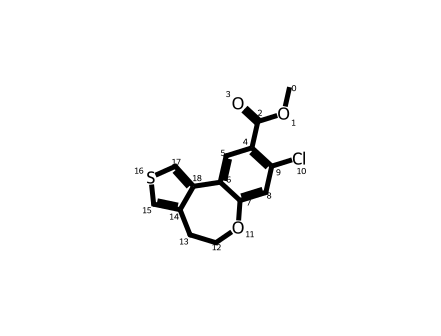 COC(=O)c1cc2c(cc1Cl)OCCc1cscc1-2